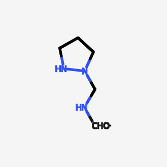 O=[C]NCN1CCCN1